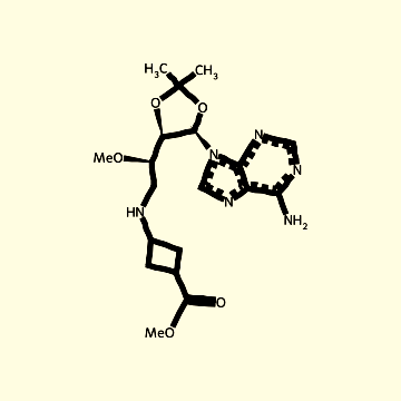 COC(=O)C1CC(NC[C@@H](OC)[C@H]2OC(C)(C)O[C@H]2n2cnc3c(N)ncnc32)C1